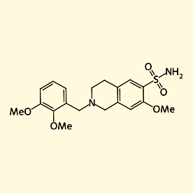 COc1cc2c(cc1S(N)(=O)=O)CCN(Cc1cccc(OC)c1OC)C2